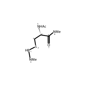 CNBSC[C@H](NC(C)=O)C(=O)NC